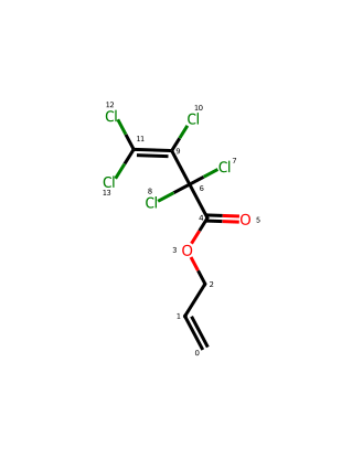 C=CCOC(=O)C(Cl)(Cl)C(Cl)=C(Cl)Cl